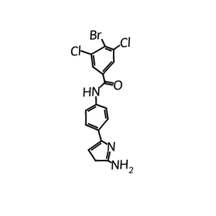 NC1=NC(c2ccc(NC(=O)c3cc(Cl)c(Br)c(Cl)c3)cc2)=CC1